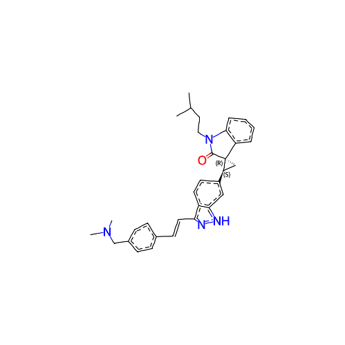 CC(C)CCN1C(=O)[C@@]2(C[C@H]2c2ccc3c(C=Cc4ccc(CN(C)C)cc4)n[nH]c3c2)c2ccccc21